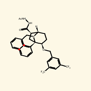 CC(=O)NNC(=O)[C@@H]1C[C@@]2(c3ccccc3)[C@H](OCc3cc(C(F)(F)F)cc(C(F)(F)F)c3)CC[C@@H]1N2Cc1ccccc1